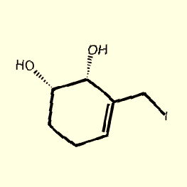 O[C@@H]1C(CI)=CCC[C@@H]1O